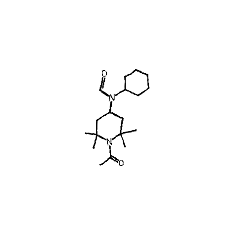 CC(=O)N1C(C)(C)CC(N(C=O)C2CCCCC2)CC1(C)C